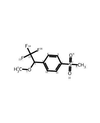 COC(c1ccc(S(C)(=O)=O)cc1)C(F)(F)F